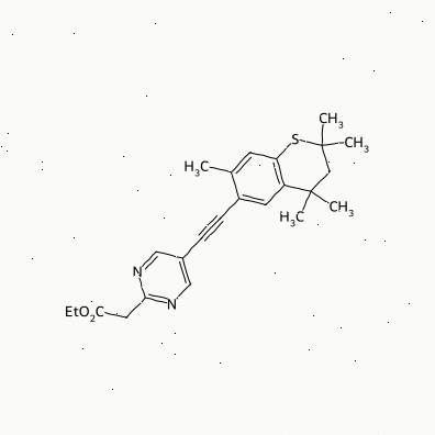 CCOC(=O)Cc1ncc(C#Cc2cc3c(cc2C)SC(C)(C)CC3(C)C)cn1